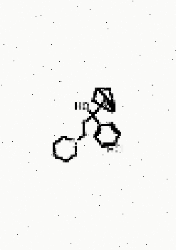 Cl.OC(CCN1CCCCC1)(c1ccccc1)C1C2CC3C(C2)C31